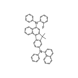 CC1(C)c2cc(N(c3ccccc3)c3cccc4ccccc34)ccc2-c2c1cc(N(c1ccccc1)c1ccccc1F)c1ccccc21